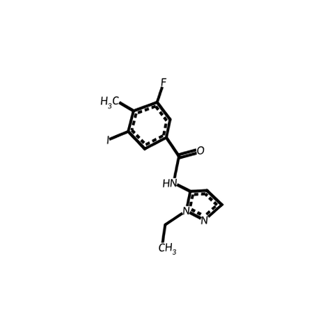 CCn1nccc1NC(=O)c1cc(F)c(C)c(I)c1